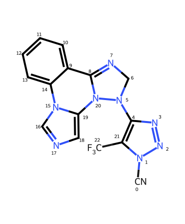 N#Cn1nnc(N2CN=C3c4ccccc4-n4cncc4N32)c1C(F)(F)F